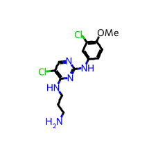 COc1ccc(Nc2ncc(Cl)c(NCCCN)n2)cc1Cl